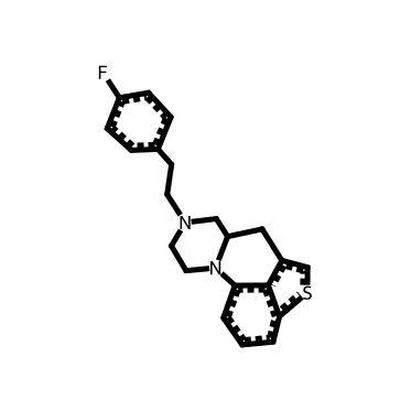 Fc1ccc(CCN2CCN3c4cccc5scc(c45)CC3C2)cc1